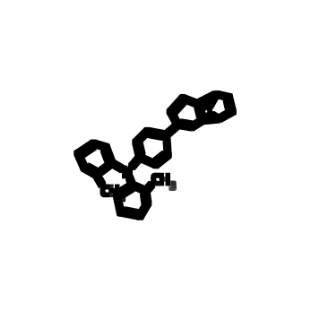 Cc1ccccc1N(c1ccc(-c2ccc3c4ccc(o4)c3c2)cc1)c1ccccc1C